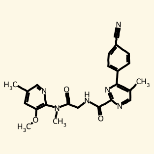 COc1cc(C)cnc1N(C)C(=O)CNC(=O)c1ncc(C)c(-c2ccc(C#N)cc2)n1